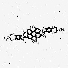 Cc1cc2c3c(cc(Cl)c4c5c(Cl)cc6c7c(cc(Cl)c(c1c43)c57)c(=O)n1c3cc4c(cc3nc61)OCC(C)CO4)c(=O)n1c3cc4c(cc3nc21)OCC(C)CO4